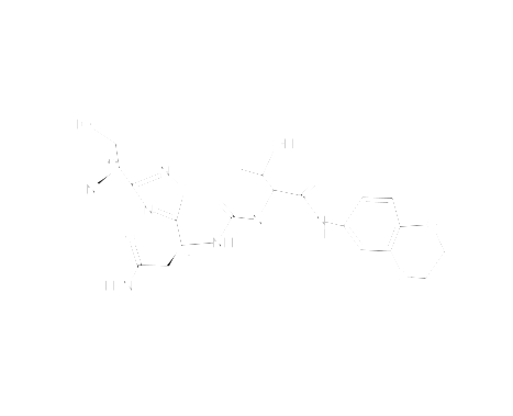 CC(O)C(NC(=O)N[C@@H](CC(N)=O)c1nc([C@@H](N)CO)no1)C(=O)Nc1ccc2c(c1)OCCO2